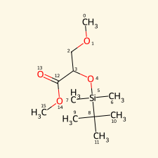 COCC(O[Si](C)(C)C(C)(C)C)C(=O)OC